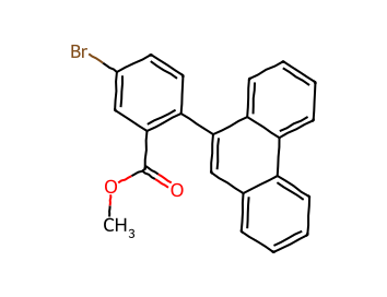 COC(=O)c1cc(Br)ccc1-c1cc2ccccc2c2ccccc12